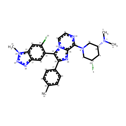 CN(C)[C@@H]1C[C@H](F)CN(c2nccn3c(-c4cc5nnn(C)c5cc4F)c(-c4ccc(C#N)cc4)nc23)C1